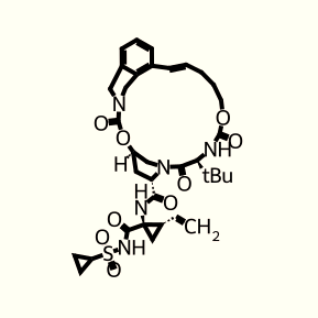 C=C[C@@H]1C[C@]1(NC(=O)[C@@H]1C[C@@H]2CN1C(=O)[C@H](C(C)(C)C)NC(=O)OCCC/C=C/c1cccc3c1CN(C3)C(=O)O2)C(=O)NS(=O)(=O)C1CC1